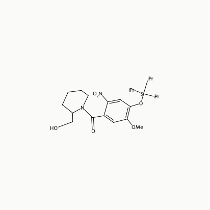 COc1cc(C(=O)N2CCCCC2CO)c([N+](=O)[O-])cc1O[Si](C(C)C)(C(C)C)C(C)C